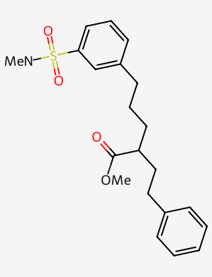 CNS(=O)(=O)c1cccc(CCCC(CCc2ccccc2)C(=O)OC)c1